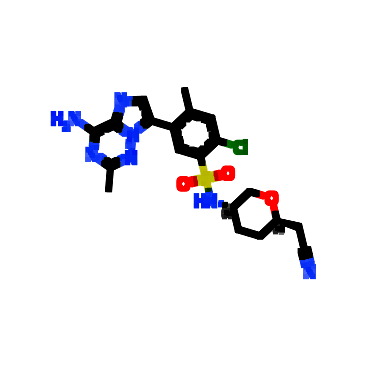 Cc1nc(N)c2ncc(-c3cc(S(=O)(=O)N[C@H]4CC[C@H](CC#N)OC4)c(Cl)cc3C)n2n1